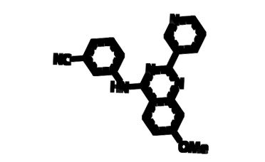 COc1ccc2c(Nc3cccc(C#N)c3)nc(-c3cccnc3)nc2c1